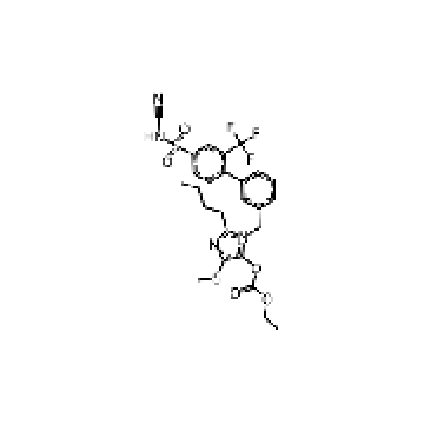 CCCCc1nc(SC)c(OC(=O)OCC)n1Cc1cccc(-c2ccc(S(=O)(=O)NC#N)cc2C(F)(F)F)c1